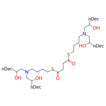 CCCCCCCCCCC(O)CN(CCCCSC(=O)CCC(=O)SCCCCN(CC(O)CCCCCCCCCC)CC(O)CCCCCCCCCC)CC(O)CCCCCCCCCC